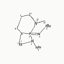 CCCN(CC)P1(=NC(C)(C)C)C(C)CCCN1C